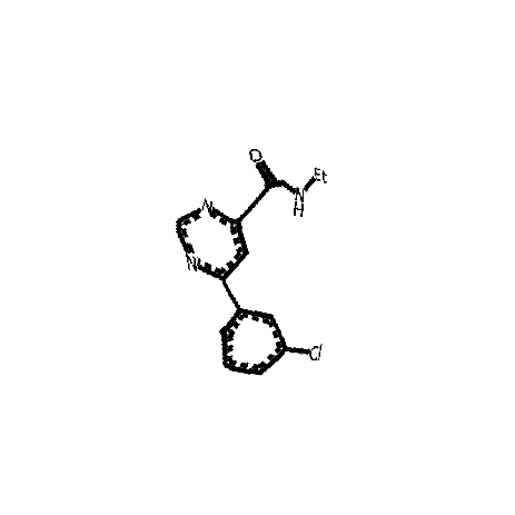 CCNC(=O)c1cc(-c2cccc(Cl)c2)ncn1